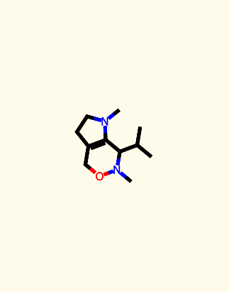 CC(C)C1C2=C(CCN2C)CON1C